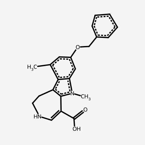 Cc1cc(OCc2ccccc2)cc2c1c1c(n2C)C(C(=O)O)=CNCC1